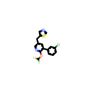 FC(F)Oc1ncc(Cc2cncs2)cc1-c1cccc(Cl)c1